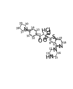 Cl.O=C(CS(=O)(=O)c1cc2c(N3CCNCC3)nccc2s1)c1ccc(N2CCCC2)cc1